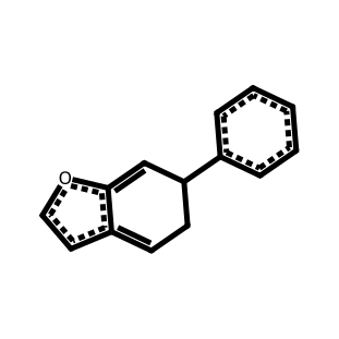 C1=c2ccoc2=CC(c2ccccc2)C1